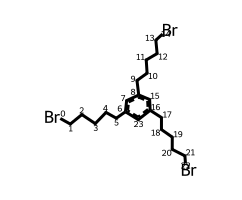 BrCCCCCc1cc(CCCCCBr)cc(CCCCCBr)c1